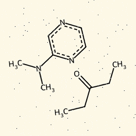 CCC(=O)CC.CN(C)c1cnccn1